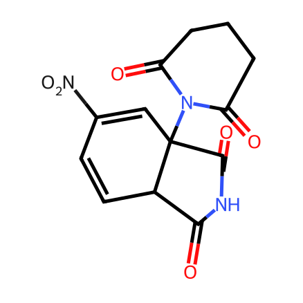 O=C1NC(=O)C2(N3C(=O)CCCC3=O)C=C([N+](=O)[O-])C=CC12